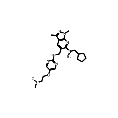 CCN(CC1CCCC1)c1nc2c(cc1CNc1ncc(OCC[S+](C)[O-])cn1)c(C)nn2C